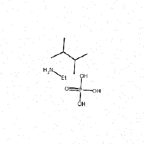 CC(C)C(C)C.CCN.O=P(O)(O)O